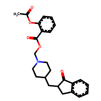 CC(=O)Oc1ccccc1C(=O)OCN1CCC(CC2Cc3ccccc3C2=O)CC1